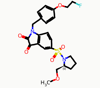 COC[C@@H]1CCCN1S(=O)(=O)c1ccc2c(c1)C(=O)C(=O)N2Cc1ccc(OCCF)cc1